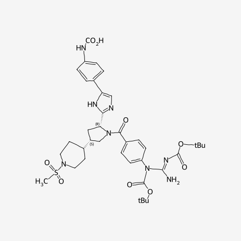 CC(C)(C)OC(=O)N=C(N)N(C(=O)OC(C)(C)C)c1ccc(C(=O)N2C[C@H](C3CCN(S(C)(=O)=O)CC3)C[C@@H]2c2ncc(-c3ccc(NC(=O)O)cc3)[nH]2)cc1